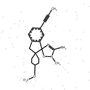 CC#Cc1ccc2c(c1)C1(N=C(N)N(C)O1)C1(CCC(OC)CC1)C2